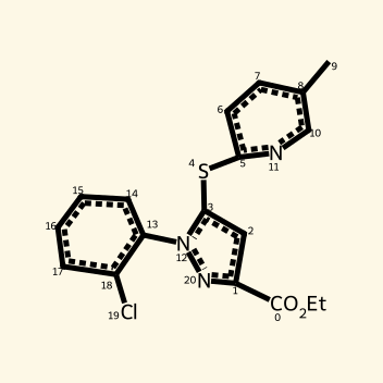 CCOC(=O)c1cc(Sc2ccc(C)cn2)n(-c2ccccc2Cl)n1